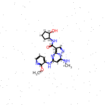 CNc1cc(Nc2cccnc2OC)nc2c(C(=O)NC3CCCC3O)cnn12